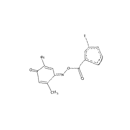 CC1=CC(=O)C(C(C)C)=C/C1=N\OC(=O)c1cccc(F)c1